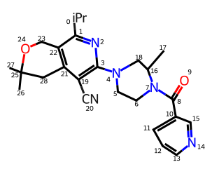 CC(C)c1nc(N2CCN(C(=O)c3cccnc3)C(C)C2)c(C#N)c2c1COC(C)(C)C2